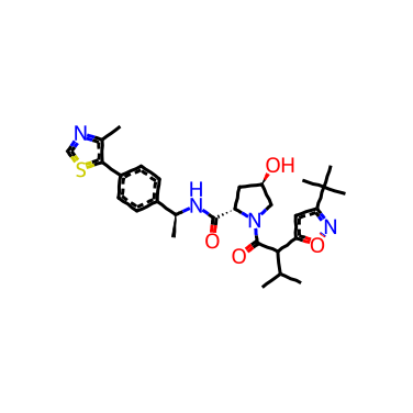 Cc1ncsc1-c1ccc([C@H](C)NC(=O)[C@@H]2C[C@@H](O)CN2C(=O)C(c2cc(C(C)(C)C)no2)C(C)C)cc1